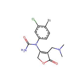 CCc1ccc(N(C(N)=O)C2=C(CN(C)C)C(=O)OC2)cc1Cl